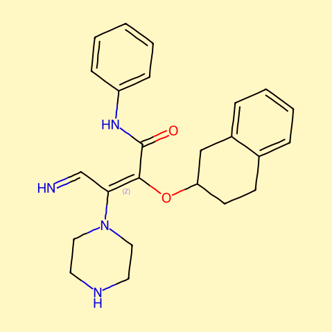 N=C/C(=C(/OC1CCc2ccccc2C1)C(=O)Nc1ccccc1)N1CCNCC1